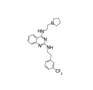 FC(F)(F)c1cccc(CCNc2nc(NCCN3CCCC3)c3ccccc3n2)c1